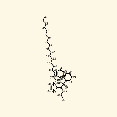 CCCCCCCCCCCCCCCCCCCn1ccnc1C(CCC)C(C)(Cc1ccccc1)c1ccccc1